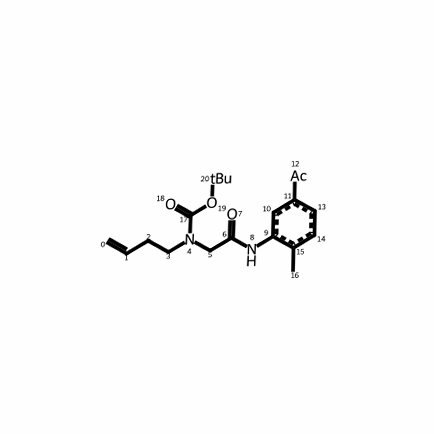 C=CCCN(CC(=O)Nc1cc(C(C)=O)ccc1C)C(=O)OC(C)(C)C